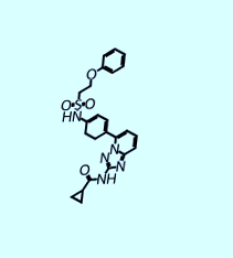 O=C(Nc1nc2cccc(C3=CC=C(NS(=O)(=O)CCOc4ccccc4)CC3)n2n1)C1CC1